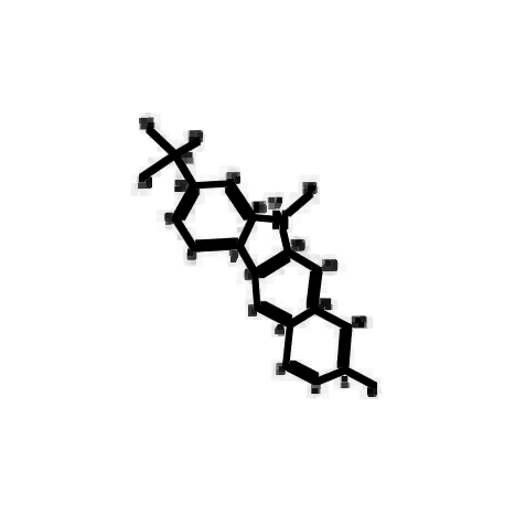 Cc1ccc2cc3c4ccc(C(C)(C)C)cc4n(C)c3cc2c1